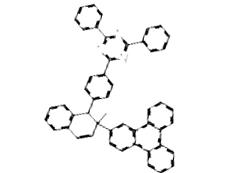 CC1(c2ccc3c4ccccc4c4ccccc4c3c2)C=Cc2ccccc2C1c1ccc(-c2nc(-c3ccccc3)nc(-c3ccccc3)n2)cc1